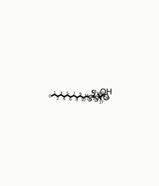 CCCCCCCCCCCCSC(=S)SC(C)(C)C(=O)O